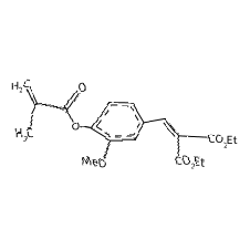 C=C(C)C(=O)Oc1ccc(C=C(C(=O)OCC)C(=O)OCC)cc1OC